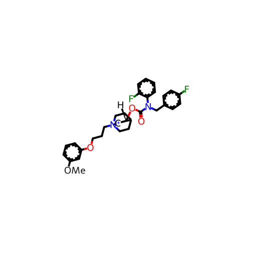 COc1cccc(OCCC[N+]23CCC(CC2)[C@@H](OC(=O)N(Cc2ccc(F)cc2)c2ccccc2F)C3)c1